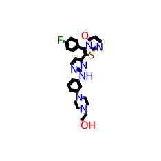 O=c1ccnc2sc(-c3ccnc(Nc4cccc(N5CCN(CCO)CC5)c4)n3)c(-c3ccc(F)cc3)n12